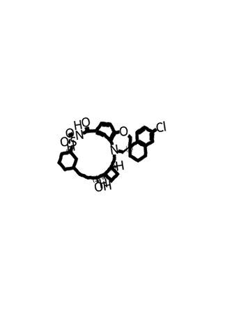 O=C1NS(=O)(=O)[C@@H]2CCCC(CC[C@H](O)[C@@H]3CC[C@H]3CN3C[C@@]4(CCCc5cc(Cl)ccc54)COc4ccc1cc43)C2